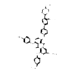 CCCCCCC1CCC(c2ccc(-c3ccc(Sc4ccc(Sc5ccc(C(C)(C)C)cc5)c5c4C(=O)c4cc(C(C)CCC)cc(Sc6ccc(OC(C)(C)C)cc6)c4C5=O)cc3)cc2C)CC1